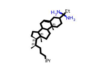 CCC(N)(N)C1CC[C@@]2(C)C(=CCC3C2CC[C@@]2(C)C3CC[C@@H]2[C@H](C)CCCC(C)C)C1